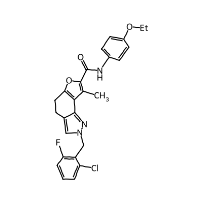 CCOc1ccc(NC(=O)c2oc3c(c2C)-c2nn(Cc4c(F)cccc4Cl)cc2CC3)cc1